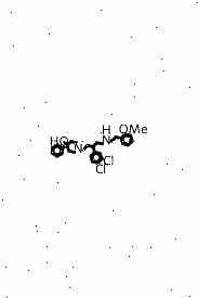 COc1ccccc1CCNCCC(CCN1CCC(O)(c2ccccc2)CC1)c1ccc(Cl)c(Cl)c1